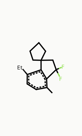 CCc1ccc(C)c2c1C1(CCCC1)CC2(F)F